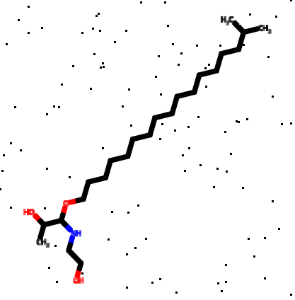 CC(C)CCCCCCCCCCCCCCCOC(NCCO)C(C)O